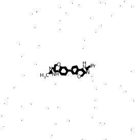 Cc1nc2c([nH]1)-c1ccc(-c3ccc4c(c3)OCc3nc(C(C)C)[nH]c3-4)cc1OC2